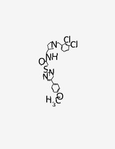 COc1ccc(-c2cnc(SCC(=O)NCC3CCN(Cc4cccc(Cl)c4Cl)C3)nc2)cc1